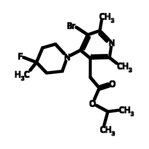 Cc1nc(C)c(CC(=O)OC(C)C)c(N2CCC(C)(F)CC2)c1Br